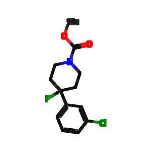 CC(C)(C)OC(=O)N1CCC(F)(c2cccc(Cl)c2)CC1